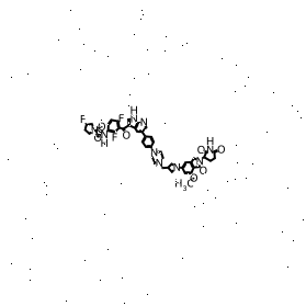 COc1cc(N2CC(CN3CCN(c4ccc(-c5cnc6[nH]cc(C(=O)c7c(F)ccc(NS(=O)(=O)N8CC[C@@H](F)C8)c7F)c6c5)cc4)CC3)C2)cc2c1C(=O)N(C1CCC(=O)NC1=O)C2